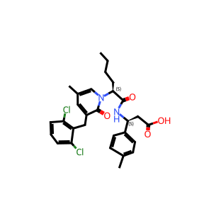 CCCC[C@@H](C(=O)N[C@@H](CC(=O)O)c1ccc(C)cc1)n1cc(C)cc(Cc2c(Cl)cccc2Cl)c1=O